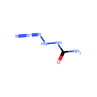 [N-]=[N+]=NNNC(N)=O